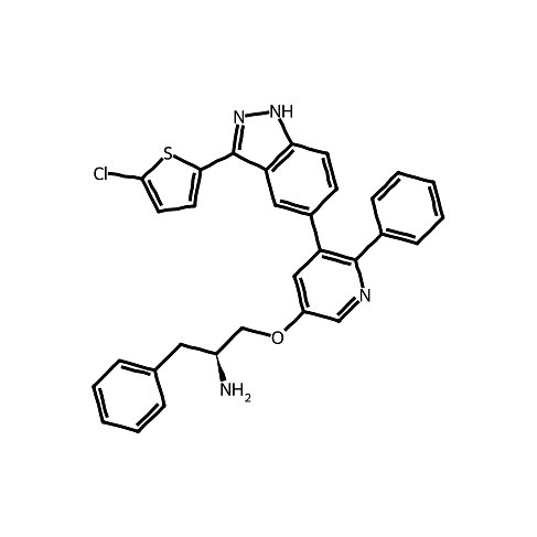 N[C@H](COc1cnc(-c2ccccc2)c(-c2ccc3[nH]nc(-c4ccc(Cl)s4)c3c2)c1)Cc1ccccc1